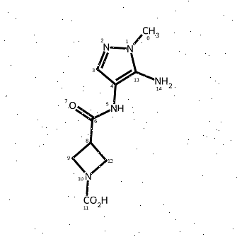 Cn1ncc(NC(=O)C2CN(C(=O)O)C2)c1N